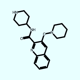 O=C(NC1CCNCC1)c1nc2ccccc2cc1ON1CCCCC1